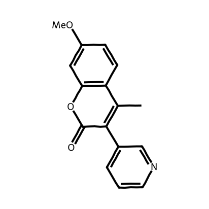 COc1ccc2c(C)c(-c3cccnc3)c(=O)oc2c1